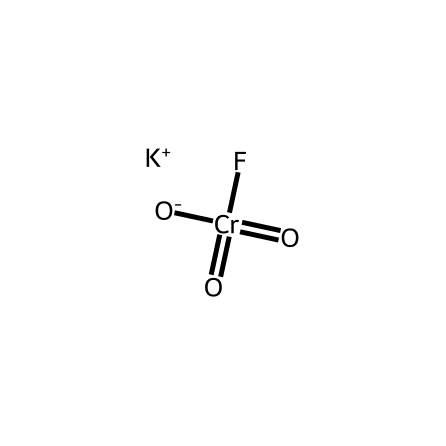 [K+].[O]=[Cr](=[O])([O-])[F]